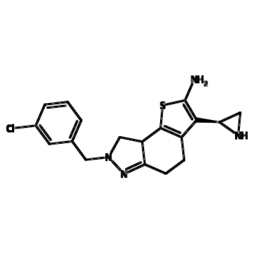 Nc1sc2c(c1[C@H]1CN1)CCC1=NN(Cc3cccc(Cl)c3)CC12